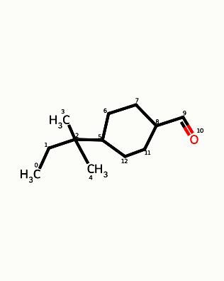 CCC(C)(C)C1CCC(C=O)CC1